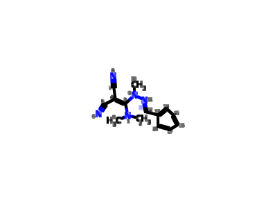 CN(C)C(=C(C#N)C#N)N(C)/N=C/c1ccccc1